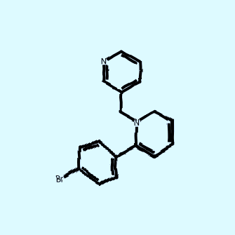 Brc1ccc(C2=CC=CCN2Cc2cccnc2)cc1